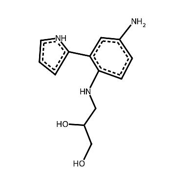 Nc1ccc(NCC(O)CO)c(-c2ccc[nH]2)c1